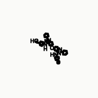 COc1ccc(Nc2nc(-c3ccccc3)nc3ccc(Oc4ccc5nc(-c6ccccc6)nc(Nc6ccc(CO)cc6)c5c4)cc23)cc1